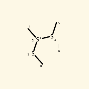 CS[S+](C)SC.[I-]